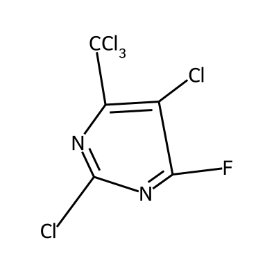 Fc1nc(Cl)nc(C(Cl)(Cl)Cl)c1Cl